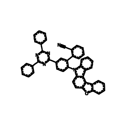 N#Cc1ccccc1-c1cc(-c2nc(-c3ccccc3)nc(-c3ccccc3)n2)ccc1-n1c2ccccc2c2c3c(ccc21)oc1ccccc13